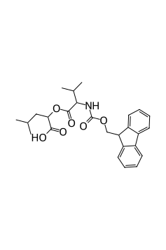 CC(C)CC(OC(=O)C(NC(=O)OCC1c2ccccc2-c2ccccc21)C(C)C)C(=O)O